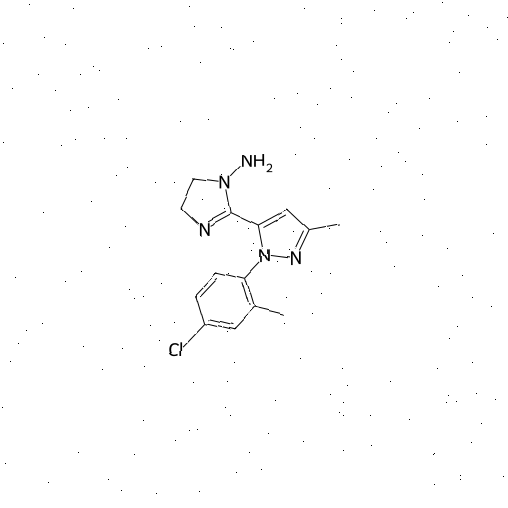 Cc1cc(C2=NCCN2N)n(-c2ccc(Cl)cc2C)n1